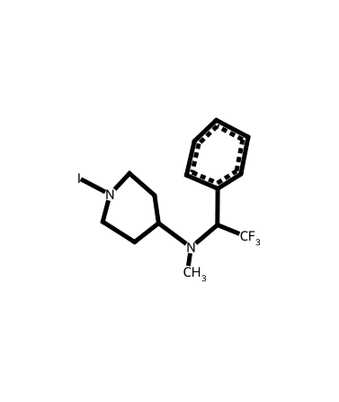 CN(C1CCN(I)CC1)C(c1ccccc1)C(F)(F)F